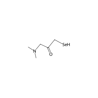 CN(C)CC(=O)C[SeH]